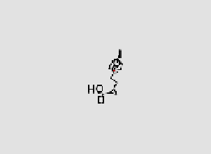 O=C(O)C1CC1CCC12CCC(I)(CC1)OC2